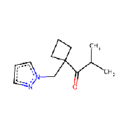 CC(C)C(=O)C1(Cn2cccn2)CCC1